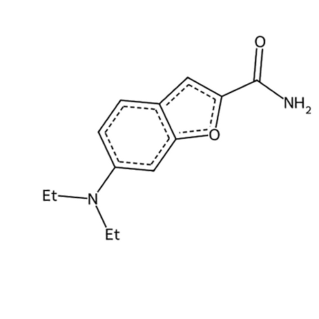 CCN(CC)c1ccc2cc(C(N)=O)oc2c1